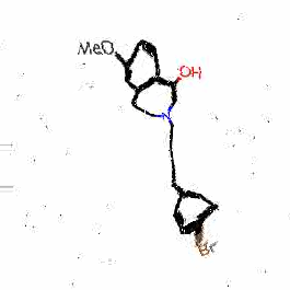 COc1ccc2c(c1)CCN(CCCCc1ccc(Br)cc1)CC2O